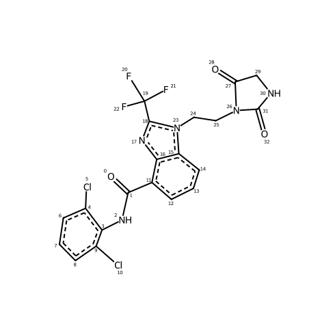 O=C(Nc1c(Cl)cccc1Cl)c1cccc2c1nc(C(F)(F)F)n2CCN1C(=O)CNC1=O